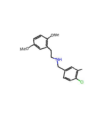 COc1ccc(OC)c(CCNCc2ccc(Cl)c(C)c2)c1